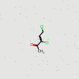 CC(=O)/C(Cl)=[C]/CCl